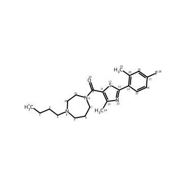 CCCCN1CCCN(C(=O)c2sc(-c3ccc(F)cc3C)nc2C)CC1